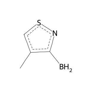 Bc1nscc1C